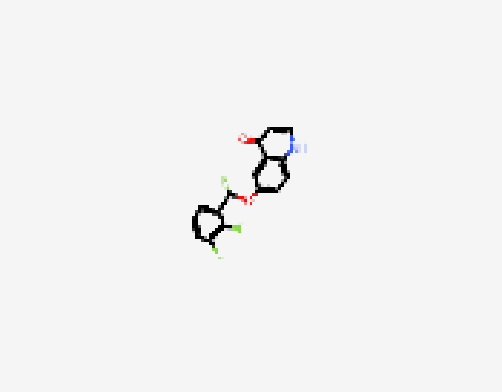 O=c1cc[nH]c2ccc(OC(F)c3cccc(F)c3F)cc12